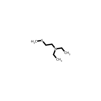 [CH2]SCCN(CC)CC